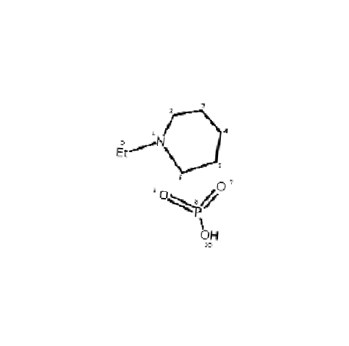 CCN1CCCCC1.O=P(=O)O